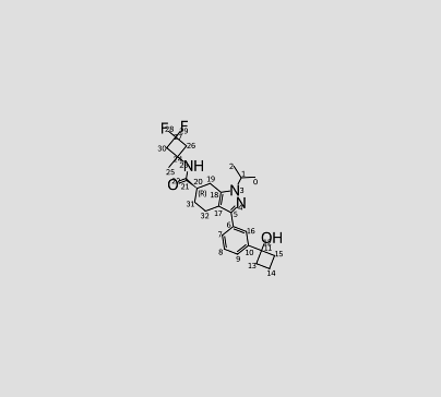 CC(C)n1nc(-c2cccc(C3(O)CCC3)c2)c2c1C[C@H](C(=O)NC1(C)CC(F)(F)C1)CC2